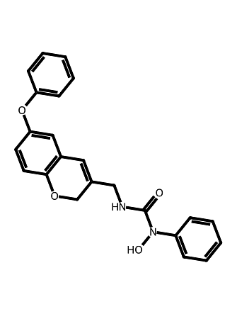 O=C(NCC1=Cc2cc(Oc3ccccc3)ccc2OC1)N(O)c1ccccc1